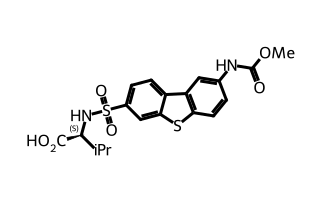 COC(=O)Nc1ccc2sc3cc(S(=O)(=O)N[C@H](C(=O)O)C(C)C)ccc3c2c1